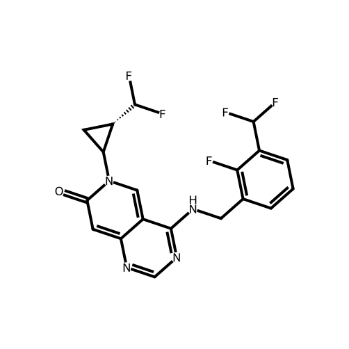 O=c1cc2ncnc(NCc3cccc(C(F)F)c3F)c2cn1C1C[C@@H]1C(F)F